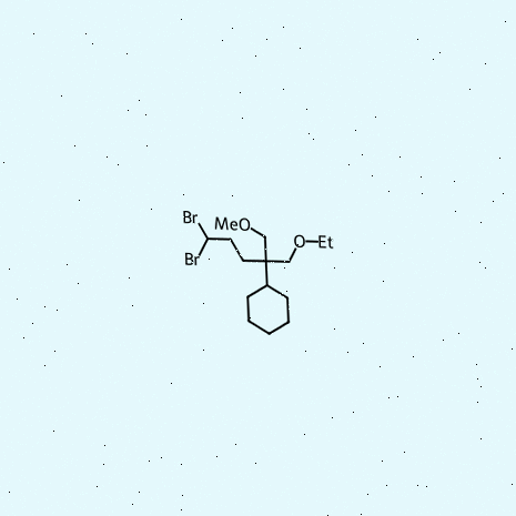 CCOCC(CCC(Br)Br)(COC)C1CCCCC1